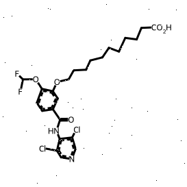 O=C(O)CCCCCCCCCCOc1cc(C(=O)Nc2c(Cl)cncc2Cl)ccc1OC(F)F